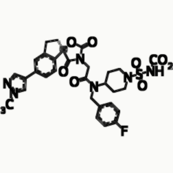 Cn1cc(-c2ccc3c(c2)CC[C@@]32OC(=O)N(CC(=O)N(Cc3ccc(F)cc3)C3CCN(S(=O)(=O)NC(=O)O)CC3)C2=O)cn1